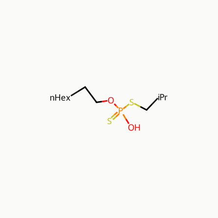 CCCCCCCCOP(O)(=S)SCC(C)C